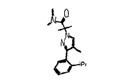 Cc1cn(C(C)(C)C(=O)N(C)C)nc1-c1ccccc1C(C)C